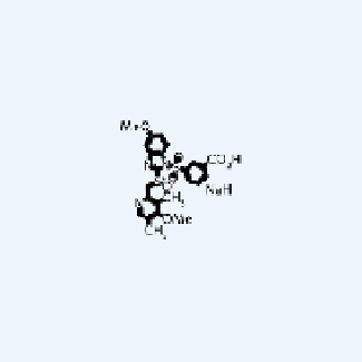 COc1ccc2c(c1)nc([S+]([O-])Cc1ncc(C)c(OC)c1C)n2S(=O)(=O)c1cccc(C(=O)O)c1.[NaH]